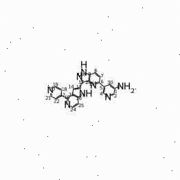 Nc1cncc(-c2ccc3[nH]nc(-c4cc5c(-c6ccncc6)nccc5[nH]4)c3n2)c1